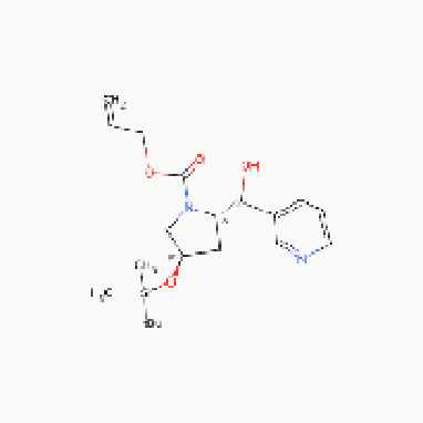 C=CCOC(=O)N1C[C@H](O[Si](C)(C)C(C)(C)C)C[C@H]1C(O)c1cccnc1